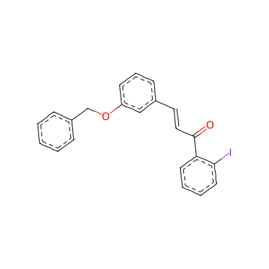 O=C(C=Cc1cccc(OCc2ccccc2)c1)c1ccccc1I